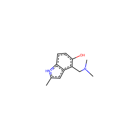 Cc1cc2c(CN(C)C)c(O)ccc2[nH]1